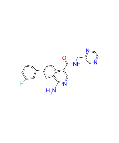 Nc1ncc(C(=O)NCc2cnccn2)c2ccc(-c3cccc(F)c3)cc12